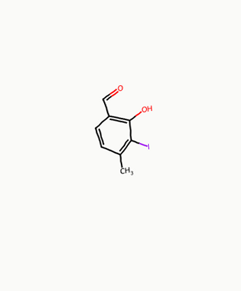 Cc1ccc(C=O)c(O)c1I